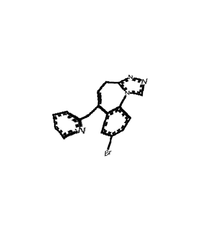 Brc1ccc2c(c1)C(c1ccccn1)=CCc1nncn1-2